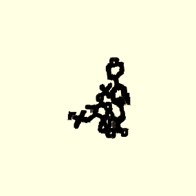 CN(C(=O)OC(C)(C)C)C(CC(C)(C)F)C(=O)OC(Cc1ccc(C2CCOCC2)cn1)C(=O)O